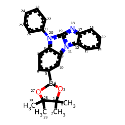 CC1(C)OB(c2ccc3c(c2)n2c4ccccc4nc2n3-c2ccccc2)OC1(C)C